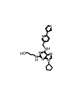 OCCCNc1nc(NCc2ccc(-c3ccsc3)nc2)c2ncn(C3CCCC3)c2n1